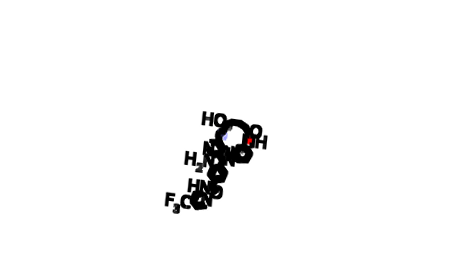 Nc1ncc2c3c1c(-c1ccc(C(=O)Nc4cc(C(F)(F)F)ccn4)cc1)nn3[C@@H]1CCC[C@H](C1)NC(=O)CCC[C@@H](O)/C=C/2